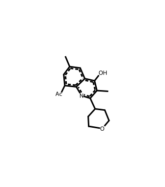 CC(=O)c1cc(C)cc2c(O)c(C)c(C3CCOCC3)nc12